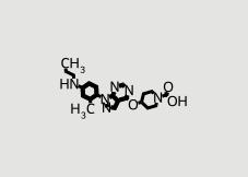 CCCNc1ccc(-n2ncc3c(OC4CCN(C(=O)O)CC4)ncnc32)c(C)c1